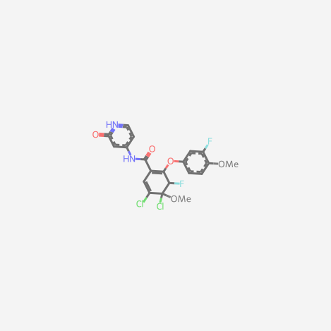 COc1ccc(OC2=C(C(=O)Nc3cc[nH]c(=O)c3)C=C(Cl)C(Cl)(OC)C2F)cc1F